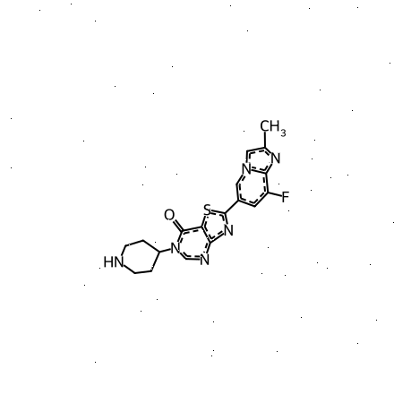 Cc1cn2cc(-c3nc4ncn(C5CCNCC5)c(=O)c4s3)cc(F)c2n1